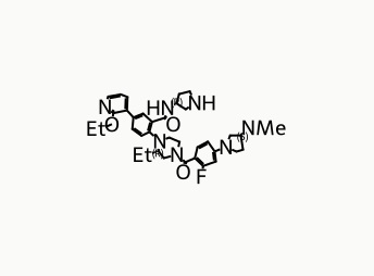 CCOc1ncccc1-c1ccc(N2CCN(C(=O)c3ccc(N4CC[C@H](NC)C4)cc3F)C[C@H]2CC)c(C(=O)N[C@@H]2CCNC2)c1